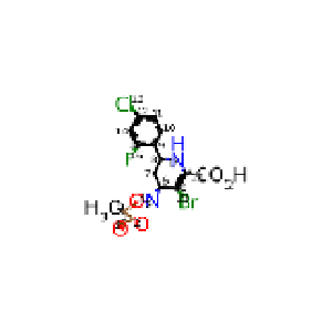 CS(=O)(=O)ON=C1CC(c2ccc(Cl)cc2F)NC(C(=O)O)=C1Br